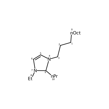 CCCCCCCCCCCN1C=CN(CC)C1CCC